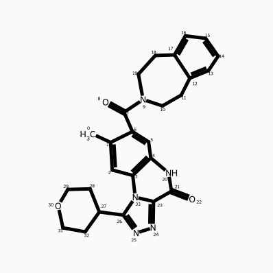 Cc1cc2c(cc1C(=O)N1CCc3ccccc3CC1)[nH]c(=O)c1nnc(C3CCOCC3)n12